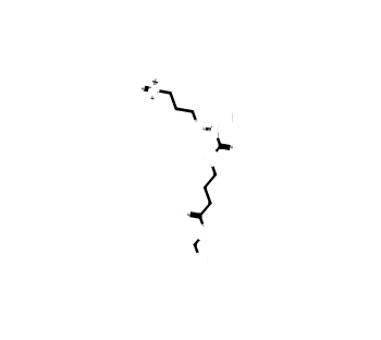 CCOC(=O)CCCOC(=O)N(C)OCCCS(=O)(=O)I